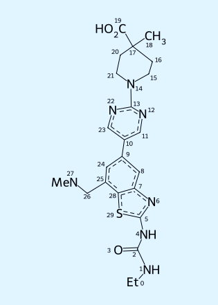 CCNC(=O)Nc1nc2cc(-c3cnc(N4CCC(C)(C(=O)O)CC4)nc3)cc(CNC)c2s1